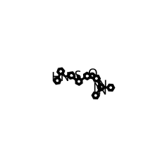 c1ccc(-c2nc(-c3ccccc3)nc(-c3ccc4oc5ccc(-c6cccc7c6sc6ccc(Nc8ccccc8-c8ccccc8)cc67)cc5c4c3)n2)cc1